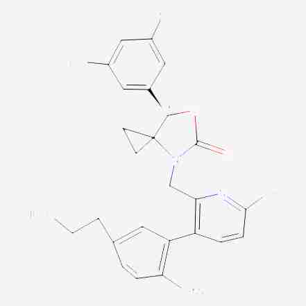 COc1ccc(CCC(=O)O)cc1-c1ccc(C(F)(F)F)nc1CN1C(=O)O[C@H](c2cc(C(F)(F)F)cc(C(F)(F)F)c2)C12CC2